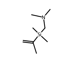 C=C(C)[Si](C)(C)CN(C)C